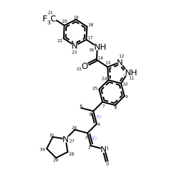 C=N/C=C(\C=C(/C)c1ccc2[nH]nc(C(=O)Nc3ccc(C(F)(F)F)cn3)c2c1)CN1CCCC1